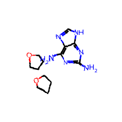 C1CCOC1.C1CCOC1.Nc1nc(N)c2nc[nH]c2n1